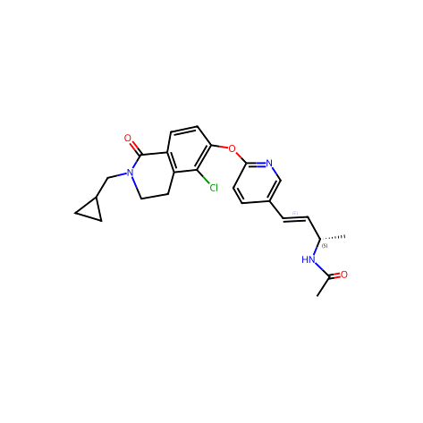 CC(=O)N[C@@H](C)/C=C/c1ccc(Oc2ccc3c(c2Cl)CCN(CC2CC2)C3=O)nc1